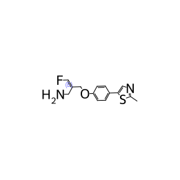 Cc1ncc(-c2ccc(OC/C(=C/F)CN)cc2)s1